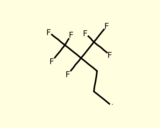 [CH2]CCC(F)(C(F)(F)F)C(F)(F)F